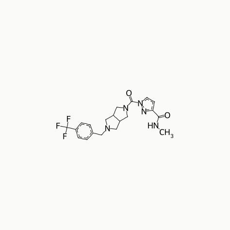 CNC(=O)c1ccn(C(=O)N2CC3CN(Cc4ccc(C(F)(F)F)cc4)CC3C2)n1